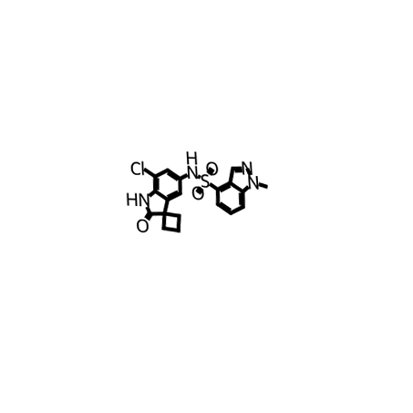 Cn1ncc2c(S(=O)(=O)Nc3cc(Cl)c4c(c3)C3(CCC3)C(=O)N4)cccc21